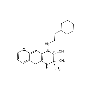 CC1(C)NC2=C(C=C3OC=CC=C3C2)N(NCCC2CCCCC2)[C@@H]1O